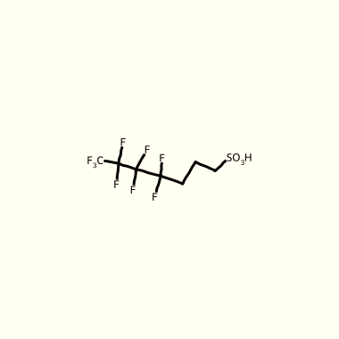 O=S(=O)(O)CCCC(F)(F)C(F)(F)C(F)(F)C(F)(F)F